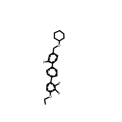 CCOc1ccc(-c2ccc(-c3ccc(COC4CCCCC4)cc3F)cc2)c(F)c1F